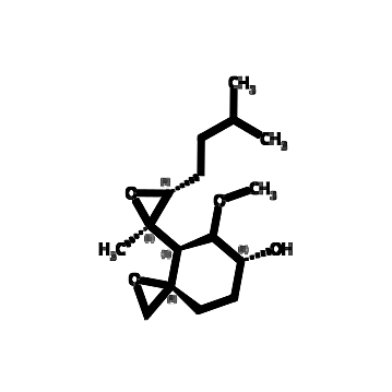 COC1[C@H](O)CC[C@]2(CO2)[C@H]1[C@@]1(C)O[C@@H]1CCC(C)C